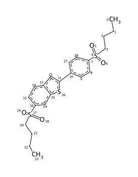 CCCCS(=O)(=O)c1ccc(-c2[c]c3ccc(S(=O)(=O)CCCC)cc3s2)cc1